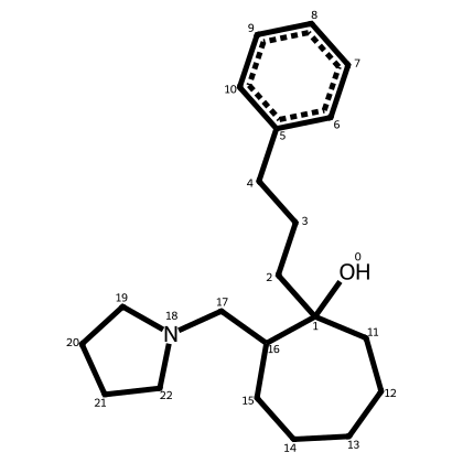 OC1(CCCc2ccccc2)CCCCCC1CN1CCCC1